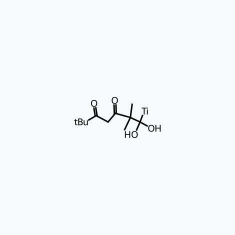 CC(C)(C)C(=O)CC(=O)C(C)(C)[C](O)(O)[Ti]